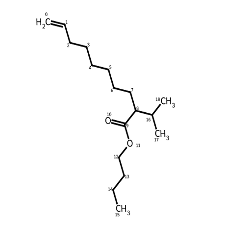 C=CCCCCCCC(C(=O)OCCCC)C(C)C